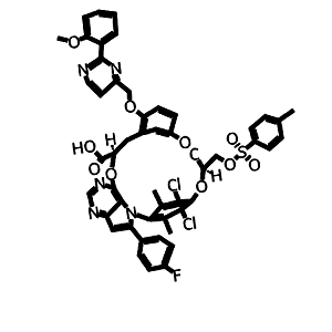 COc1ccccc1-c1nccc(COc2ccc3cc2C[C@H](C(=O)O)Oc2ncnc4cc(-c5ccc(F)cc5)n(c24)-c2c(C)c(Cl)c(c(Cl)c2C)O[C@H](COS(=O)(=O)c2ccc(C)cc2)CO3)n1